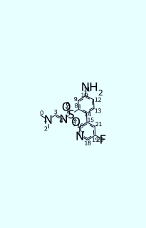 CN(C)C=NS(=O)(=O)c1cc(N)ccc1-c1cncc(F)c1